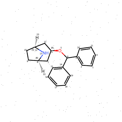 c1ccc(C(O[C@H]2C[C@H]3CC[C@@H](C2)N3)c2ccccc2)cc1